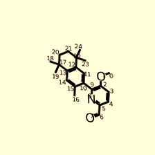 COc1ccc(C=O)nc1-c1cc2c(cc1C)C(C)(C)CCC2(C)C